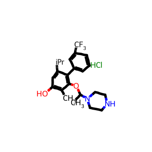 Cc1c(O)cc(C(C)C)c(-c2cccc(C(F)(F)F)c2)c1OC(C)N1CCNCC1.Cl